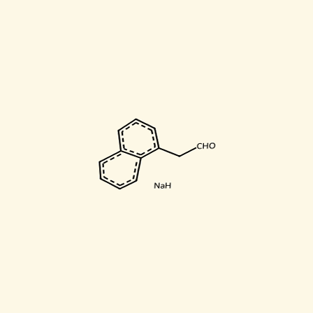 O=CCc1cccc2ccccc12.[NaH]